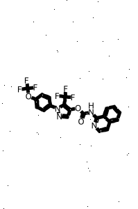 O=C(Nc1nccc2ccccc12)Oc1cnn(-c2ccc(OC(F)(F)F)cc2)c1C(F)(F)F